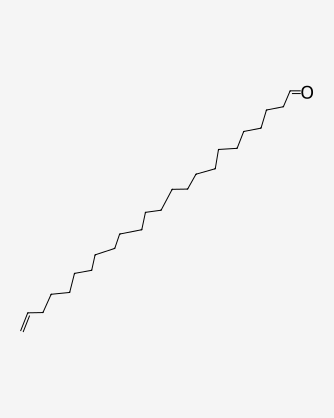 C=CCCCCCCCCCCCCCCCCCCCCCC=O